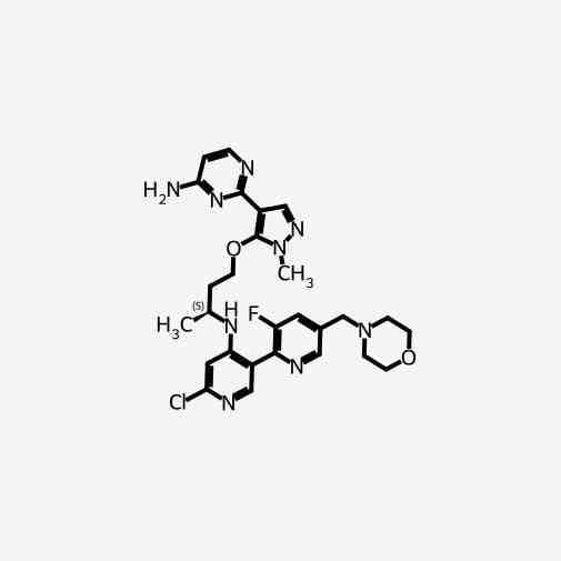 C[C@@H](CCOc1c(-c2nccc(N)n2)cnn1C)Nc1cc(Cl)ncc1-c1ncc(CN2CCOCC2)cc1F